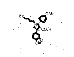 COc1ccc([C@@H]2[C@@H](C(=O)O)[C@@H](c3ccc4c(c3)OCO4)CN2CC=CCC(C)C)cc1